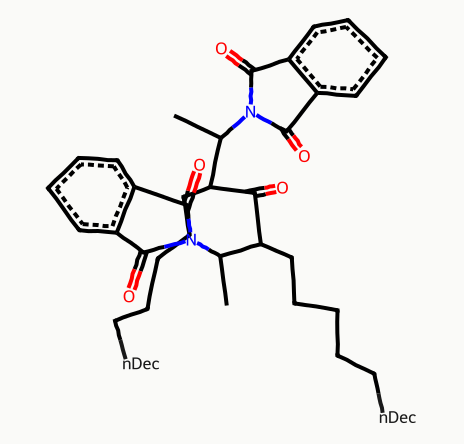 CCCCCCCCCCCCCCCC(C(=O)C(CCCCCCCCCCCCCCC)C(C)N1C(=O)c2ccccc2C1=O)C(C)N1C(=O)c2ccccc2C1=O